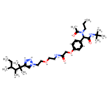 CCCN(C(C)=O)C(C(=O)NC(C)(C)C)c1ccc(OCC(=O)NCCOCCn2cc(C(C)(C)C(C)C(C)CC)nn2)cc1